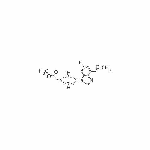 COCc1cc(F)cc2c([C@@H]3C[C@@H]4CN(CC(=O)OC)C[C@@H]4C3)ccnc12